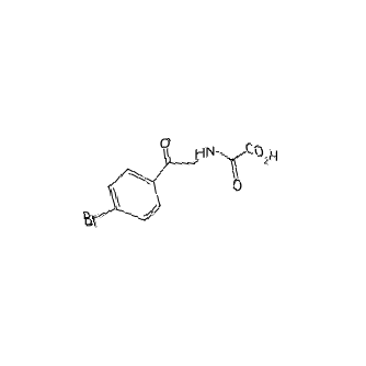 O=C(O)C(=O)NCC(=O)c1ccc(Br)cc1